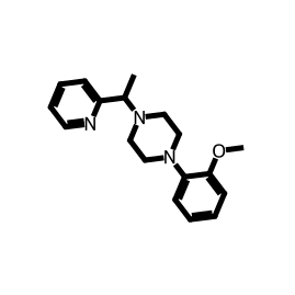 COc1ccccc1N1CCN(C(C)c2ccccn2)CC1